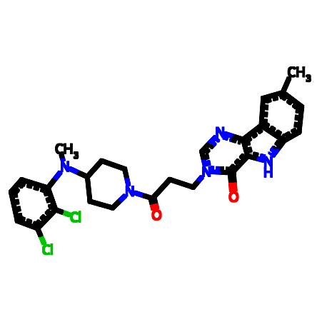 Cc1ccc2[nH]c3c(=O)n(CCC(=O)N4CCC(N(C)c5cccc(Cl)c5Cl)CC4)cnc3c2c1